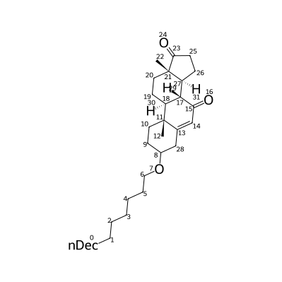 CCCCCCCCCCCCCCCCOC1CC[C@@]2(C)C(=CC(=O)[C@@H]3[C@@H]2CC[C@]2(C)C(=O)CC[C@@H]32)C1